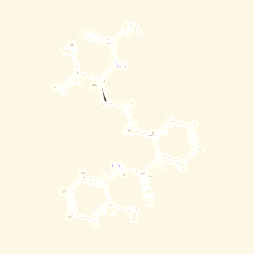 CC(=O)N[C@@H](CS[Se]c1ccccc1C(=O)Nc1ccccc1Cl)C(=O)O